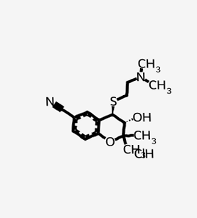 CN(C)CCS[C@@H]1c2cc(C#N)ccc2OC(C)(C)[C@H]1O.Cl